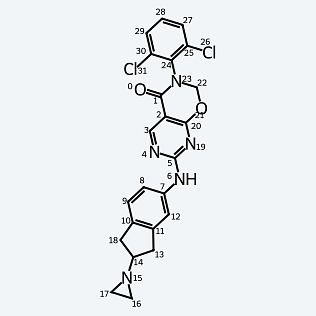 O=C1c2cnc(Nc3ccc4c(c3)CC(N3CC3)C4)nc2OCN1c1c(Cl)cccc1Cl